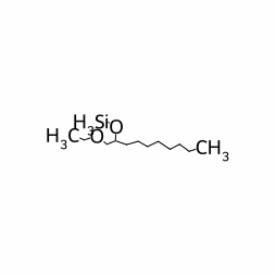 CCCCCCCCC(COCC)O[SiH3]